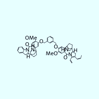 C=CC1=C(/C=C\C)C[C@@H]2N1C(=O)c1cc(OC)c(OCc3cccc(COc4cc5c(cc4OC)C(=O)N4c6ccccc6C[C@H]4C46CCC5(C4)NC6)c3)cc1C13CCC2(CN1)C3